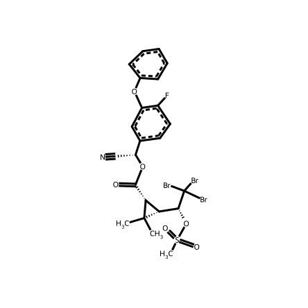 CC1(C)[C@@H]([C@@H](OS(C)(=O)=O)C(Br)(Br)Br)[C@H]1C(=O)O[C@H](C#N)c1ccc(F)c(Oc2ccccc2)c1